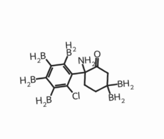 Bc1c(B)c(B)c(C2(N)CCC(B)(B)CC2=O)c(Cl)c1B